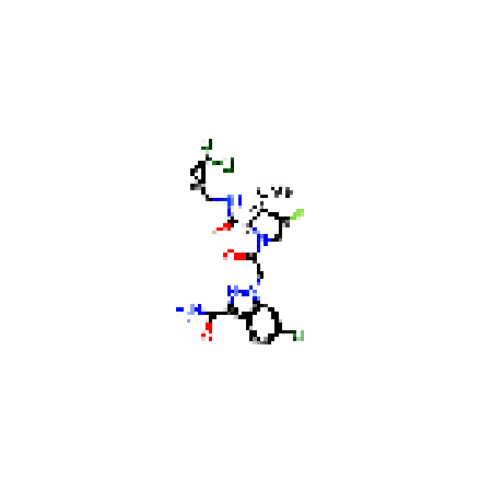 CO[C@H]1[C@@H](C(=O)NC[C@H]2CC2(Cl)Cl)N(C(=O)Cn2nc(C(N)=O)c3ccc(Cl)cc32)C[C@@H]1F